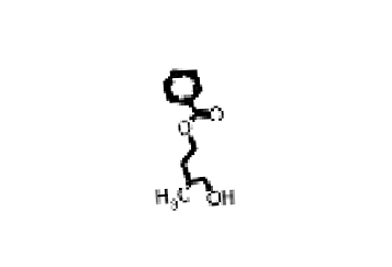 CC(CO)CCOC(=O)c1ccccc1